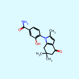 Cc1cc2c(n1-c1ccc(C(N)=O)cc1O)CC(C)(C)CC2=O